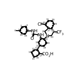 Cc1ccc(NC(=O)Nc2cc(-c3ccccc3C(=O)O)ccc2N(CCC(F)(F)F)Cc2ccccc2Cl)cc1